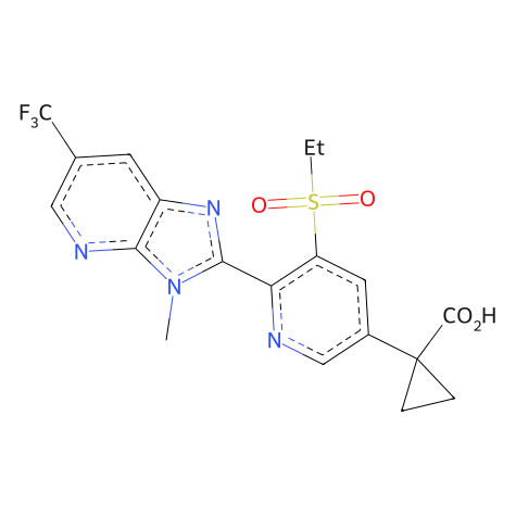 CCS(=O)(=O)c1cc(C2(C(=O)O)CC2)cnc1-c1nc2cc(C(F)(F)F)cnc2n1C